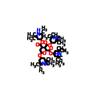 CC1CC(OC(=O)C(CC(=O)OC2CC(C)(C)NC(C)(C)C2)C(CC(=O)OC2CC(C)(C)NC(C)(C)C2)C(=O)OC2CC(C)(C)NC(C)(C)C2)CC(C)(C)N1